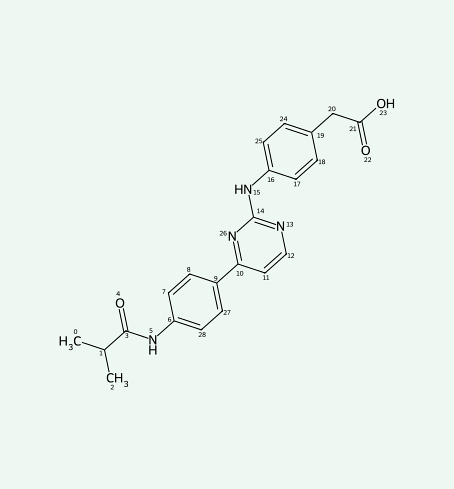 CC(C)C(=O)Nc1ccc(-c2ccnc(Nc3ccc(CC(=O)O)cc3)n2)cc1